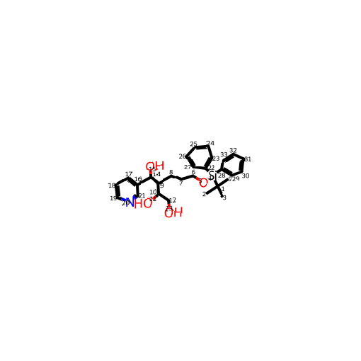 CC(C)(C)[Si](OCCCC(C(O)CO)C(O)c1cccnc1)(c1ccccc1)c1ccccc1